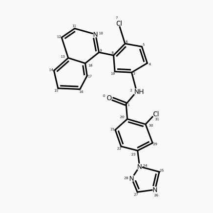 O=C(Nc1ccc(Cl)c(-c2nccc3ccccc23)c1)c1ccc(-n2cncn2)cc1Cl